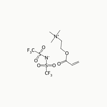 C=CC(=O)OCC[N+](C)(C)C.O=S(=O)([N-]S(=O)(=O)C(F)(F)F)C(F)(F)F